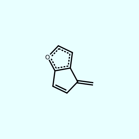 C=C1C=Cc2occc21